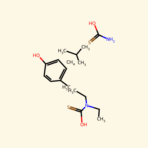 C.CC(C)C.CCN(CC)C(O)=S.Cc1ccc(O)cc1.NC(O)=S